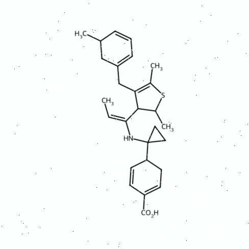 CC=C(NC1(C2C=CC(C(=O)O)=CC2)CC1)C1C(CC2=CC=CC(C)C2)=C(C)SC1C